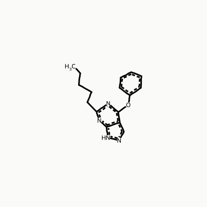 CCCCCc1nc(Oc2ccccc2)c2cn[nH]c2n1